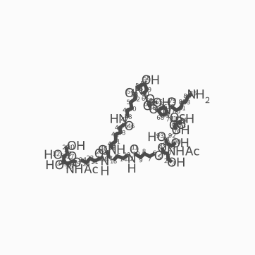 CC(=O)NC(CO)[C@H](OCCCCC(=O)NCCCC[C@H](NC(=O)CCCCOC1OC(CO)[C@H](O)[C@H](O)[C@@H]1NC(C)=O)C(=O)NCCCCCC(=O)NCCCCCC(=O)N1C[C@H](O)C[C@H]1COP(=O)(O)O[C@@H]1C[C@@H](COP(=O)(S)OO)N(C(=O)CCCCCN)C1)OC(CO)[C@@H](C)O